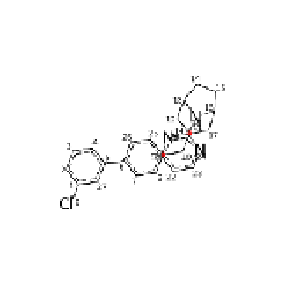 Clc1cccc(-c2ccc(CC3CC4CCC(C3)N4c3ncccn3)cc2)c1